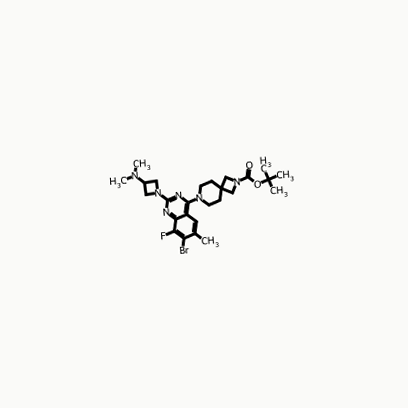 Cc1cc2c(N3CCC4(CC3)CN(C(=O)OC(C)(C)C)C4)nc(N3CC(N(C)C)C3)nc2c(F)c1Br